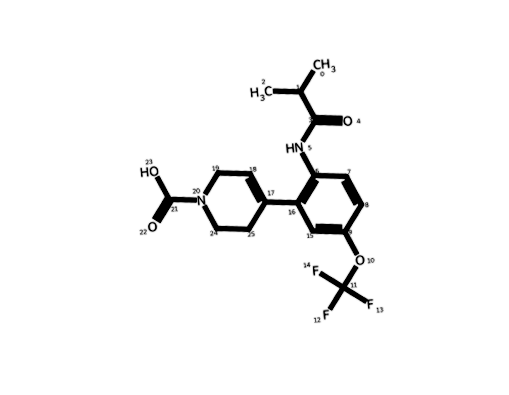 CC(C)C(=O)Nc1ccc(OC(F)(F)F)cc1C1=CCN(C(=O)O)CC1